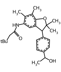 Cc1c(NC(=O)CC(C)(C)C)cc2c(c1C)OC(C)(C)C2c1ccc(C(C)O)cc1